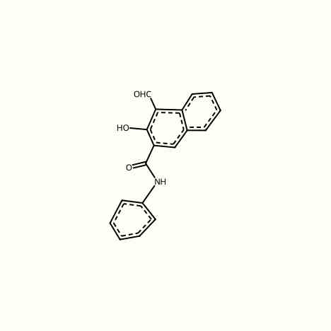 O=Cc1c(O)c(C(=O)Nc2ccccc2)cc2ccccc12